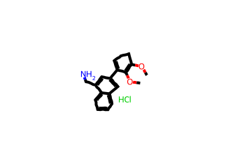 COC1=C(OC)C(c2cc(CN)c3ccccc3c2)=CCC1.Cl